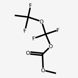 COC(=O)OC(F)(F)OC(C)(F)F